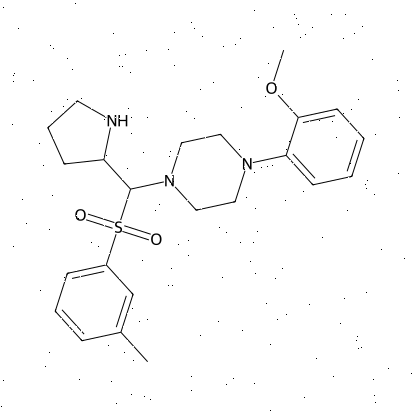 COc1ccccc1N1CCN(C(C2CCCN2)S(=O)(=O)c2cccc(C)c2)CC1